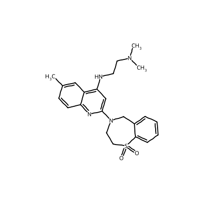 Cc1ccc2nc(N3CCS(=O)(=O)c4ccccc4C3)cc(NCCN(C)C)c2c1